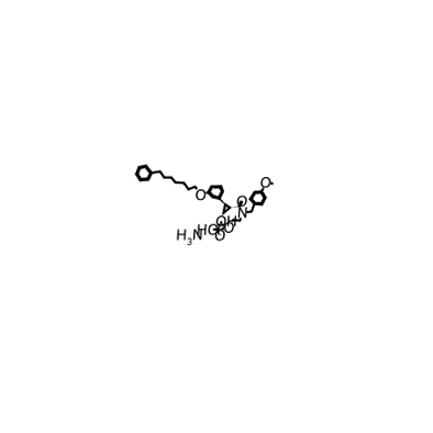 COc1ccc(CN(CCOP(=O)(O)O)C(=O)[C@@H]2C[C@H]2c2cccc(OCCCCCCCc3ccccc3)c2)cc1.N